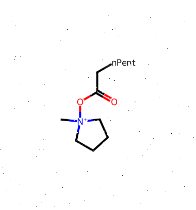 CCCCCCC(=O)O[N+]1(C)CCCC1